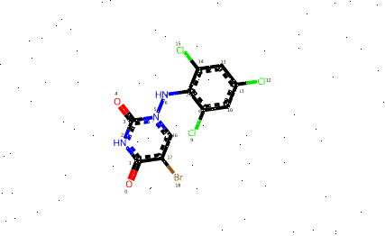 O=c1[nH]c(=O)n(Nc2c(Cl)cc(Cl)cc2Cl)cc1Br